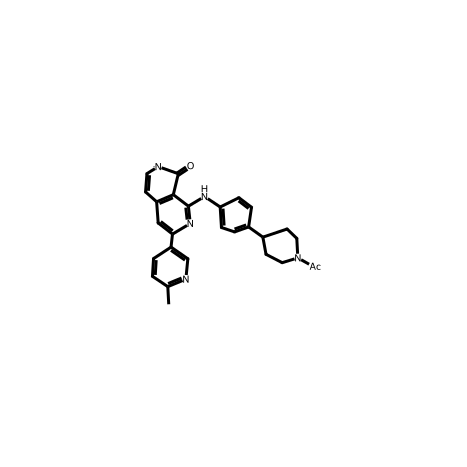 CC(=O)N1CCC(c2ccc(Nc3nc(-c4ccc(C)nc4)cc4c3C(=O)[N]C=C4)cc2)CC1